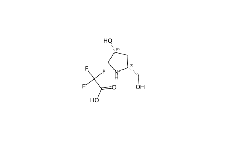 O=C(O)C(F)(F)F.OC[C@H]1C[C@@H](O)CN1